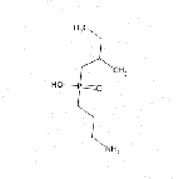 CCC(C)CP(=O)(O)CCCN